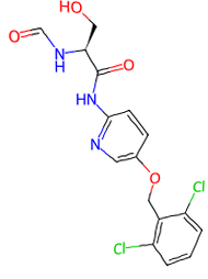 O=CN[C@@H](CO)C(=O)Nc1ccc(OCc2c(Cl)cccc2Cl)cn1